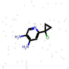 Nc1cnc(C2(Cl)CC2)cc1N